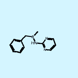 CB(Cc1ccccc1)Nc1ncccn1